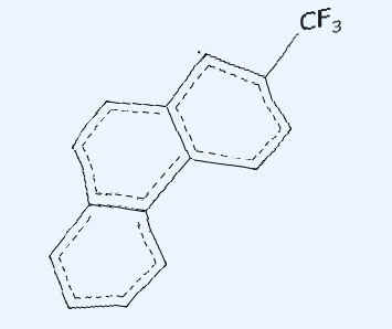 FC(F)(F)c1[c]c2ccc3ccccc3c2cc1